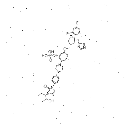 CCC(C(C)O)n1ncn(-c2ccc(N3CCN(c4ccc(OC[C@@H]5CO[C@@](Cn6cncn6)(c6ccc(F)cc6F)C5)cc4)CC3)cc2)c1=O.O=P(O)(O)O